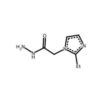 CCc1nccn1CC(=O)NN